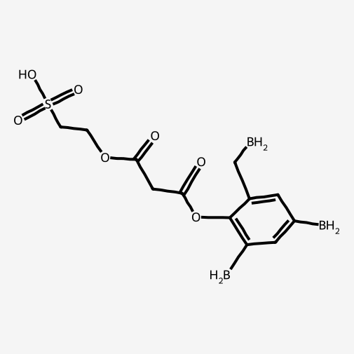 BCc1cc(B)cc(B)c1OC(=O)CC(=O)OCCS(=O)(=O)O